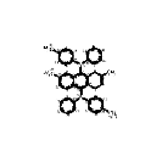 CC1=CCc2c(c(N(c3ccccc3)c3ccc(C)cc3)c3cc(C)ccc3c2N(c2ccccc2)c2ccc(C)cc2)C1